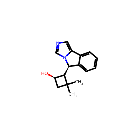 CC1(C)C[C@@H](O)C1[C@@H]1c2ccccc2-c2cncn21